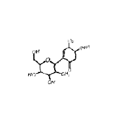 CCCCCC1CC(=O)C(C2OC(CO)C(O)C(O)C2C)=CC1CCCC